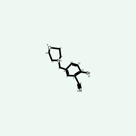 N#Cc1cc(CN2CCOCC2)ccc1Br